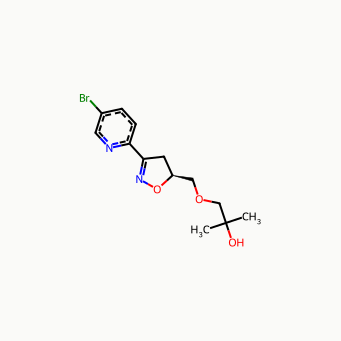 CC(C)(O)COC[C@@H]1CC(c2ccc(Br)cn2)=NO1